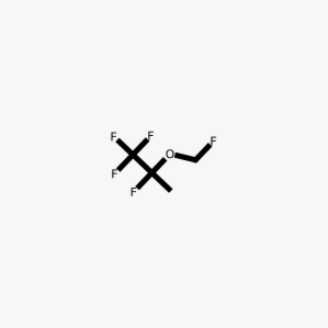 CC(F)(OCF)C(F)(F)F